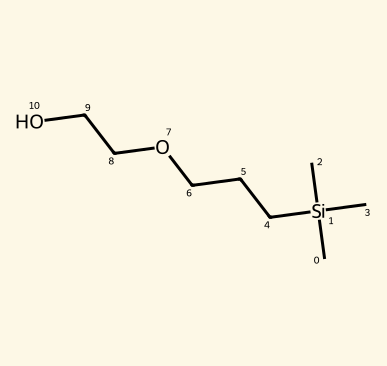 C[Si](C)(C)CCCOCCO